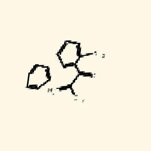 C=C(C)C(=O)c1ccccc1N.c1ccccc1